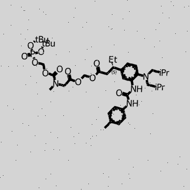 CC[C@@H](CC(=O)OCOC(=O)CN(C)C(=O)OCOP(=O)(OC(C)(C)C)OC(C)(C)C)c1ccc(N(CC(C)C)CC(C)C)c(NC(=O)Nc2ccc(C)cc2)c1